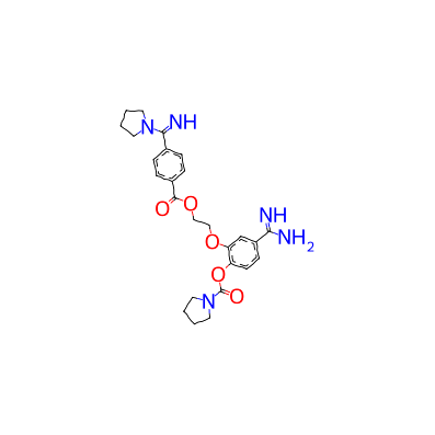 N=C(N)c1ccc(OC(=O)N2CCCC2)c(OCCOC(=O)c2ccc(C(=N)N3CCCC3)cc2)c1